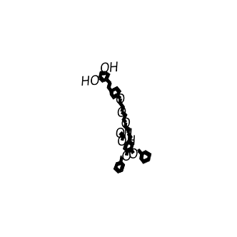 O=C(O)N(CCOCCOCCOc1ccc(C=Cc2cc(O)cc(O)c2)cc1)Cc1ccc(OCc2ccccc2)c(OCc2ccccc2)c1